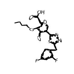 CCCCOc1c(C(=O)O)occ(-c2nnc(Cc3ccc(F)cc3F)s2)c1=O